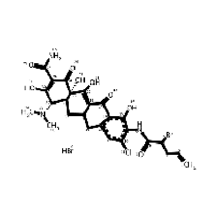 Br.C=CCC(Br)C(=O)Nc1c(Cl)cc2c(c1O)C(=O)C1=C(O)[C@]3(O)C(=O)C(C(N)=O)=C(O)[C@@H](N(C)C)C3CC1C2